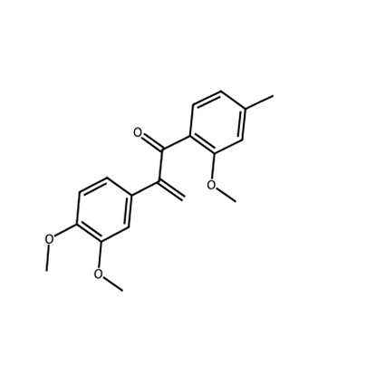 C=C(C(=O)c1ccc(C)cc1OC)c1ccc(OC)c(OC)c1